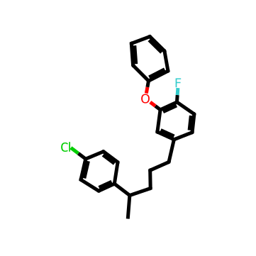 CC(CCCc1ccc(F)c(Oc2ccccc2)c1)c1ccc(Cl)cc1